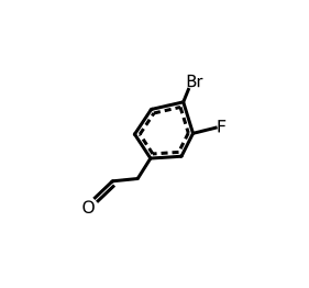 O=CCc1ccc(Br)c(F)c1